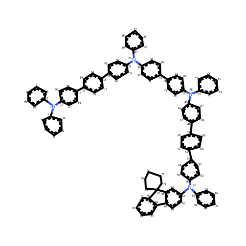 c1ccc(N(c2ccccc2)c2ccc(-c3ccc(-c4ccc(N(c5ccccc5)c5ccc(-c6ccc(N(c7ccccc7)c7ccc(-c8ccc(-c9ccc(N(c%10ccccc%10)c%10ccc%11c(c%10)C%10(CCCCC%10)c%10ccccc%10-%11)cc9)cc8)cc7)cc6)cc5)cc4)cc3)cc2)cc1